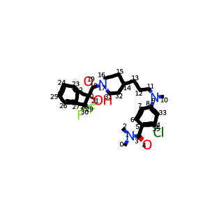 CN(C)C(=O)c1ccc(N(C)CCCC2CCN(C(=O)[C@@]3(O)c4ccccc4C3(F)F)CC2)cc1Cl